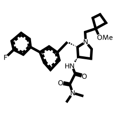 COC1(CN2CC[C@H](NC(=O)C(=O)N(C)C)[C@@H]2Cc2cccc(-c3cccc(F)c3)c2)CCC1